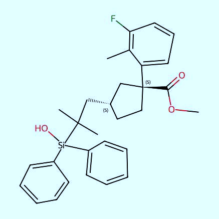 COC(=O)[C@@]1(c2cccc(F)c2C)CC[C@H](CC(C)(C)[Si](O)(c2ccccc2)c2ccccc2)C1